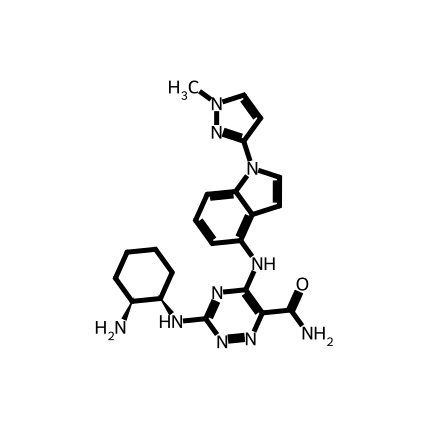 Cn1ccc(-n2ccc3c(Nc4nc(N[C@@H]5CCCC[C@@H]5N)nnc4C(N)=O)cccc32)n1